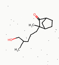 CC(CO)CCCC1(C)C(=O)C2CCC1C2